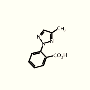 Cc1cnn(-c2ccccc2C(=O)O)n1